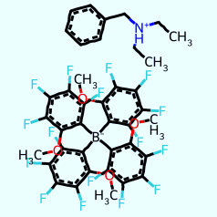 CC[NH+](CC)Cc1ccccc1.COc1c(F)c(F)c(F)c(F)c1[B-](c1c(F)c(F)c(F)c(F)c1OC)(c1c(F)c(F)c(F)c(F)c1OC)c1c(F)c(F)c(F)c(F)c1OC